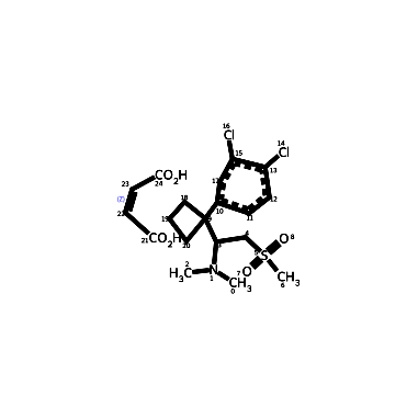 CN(C)C(CS(C)(=O)=O)C1(c2ccc(Cl)c(Cl)c2)CCC1.O=C(O)/C=C\C(=O)O